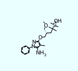 COC[C@@H](COc1nn(-c2ccccc2)c(N)c1C)CC(C)(C)[Si](C)(C)O